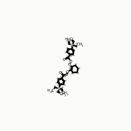 C=C[Si](C=C)(CC)c1ccc(C(=O)OOC2=C(OOC(=O)c3ccc([Si](C=C)(C=C)CC)cc3)CCCC2)cc1